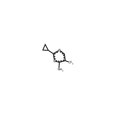 Nc1nc(C2CC2)ncc1C(F)(F)F